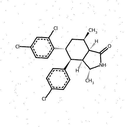 C[C@@H]1C[C@@H](c2ccc(Cl)cc2Cl)[C@H](c2ccc(Cl)cc2)[C@H]2[C@@H]1C(=O)N[C@@H]2C